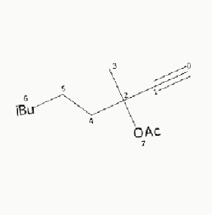 C#CC(C)(CCC(C)CC)OC(C)=O